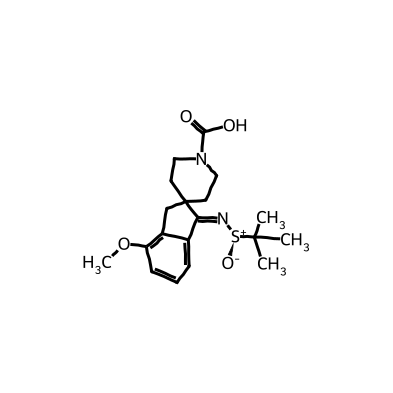 COc1cccc2c1CC1(CCN(C(=O)O)CC1)/C2=N/[S@+]([O-])C(C)(C)C